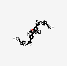 Cc1cc(-c2csc(CN3CCN(CCO)CC3)c2)cc(Cl)c1Nc1c(C#N)cnc2cc(-c3csc(CN4CCN(CCO)CC4)c3)ccc12